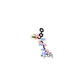 CC(C)(C)NC(=O)NCCC(=O)NCC(=O)NC(CC(=O)OC(=O)C(F)(F)F)c1ccc(-c2ccccc2)cc1